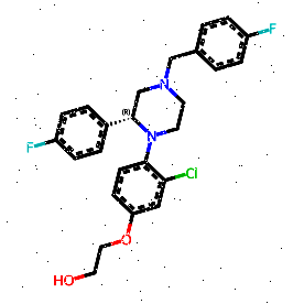 OCCOc1ccc(N2CCN(Cc3ccc(F)cc3)C[C@H]2c2ccc(F)cc2)c(Cl)c1